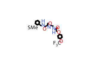 CSc1ccccc1CNC(=O)c1coc(CNC(=O)COc2ccc(OC(F)(F)F)cc2)n1